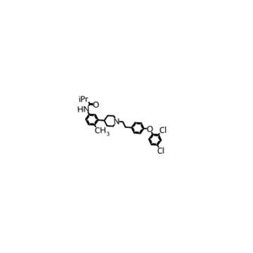 Cc1ccc(NC(=O)C(C)C)cc1C1CCN(CCc2ccc(Oc3ccc(Cl)cc3Cl)cc2)CC1